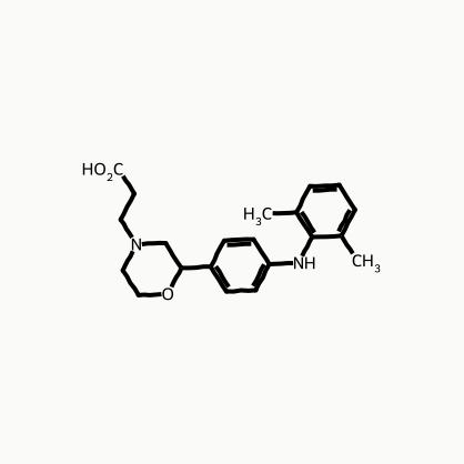 Cc1cccc(C)c1Nc1ccc(C2CN(CCC(=O)O)CCO2)cc1